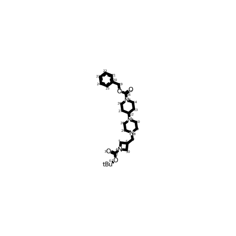 CC(C)(C)OC(=O)N1CC(CN2CCN(C3CCN(C(=O)OCc4ccccc4)CC3)CC2)C1